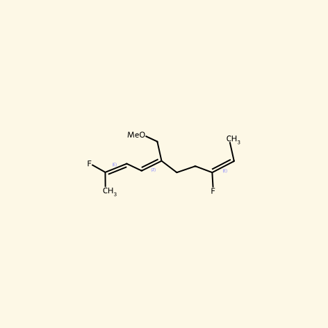 C/C=C(/F)CC/C(=C/C=C(\C)F)COC